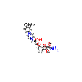 COc1ccc(N2CCN(CC(O)COc3cccc4c3OC(C(N)=O)C4=O)CC2)cc1